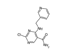 NC(=O)c1cnc(Cl)nc1NCc1cccnc1